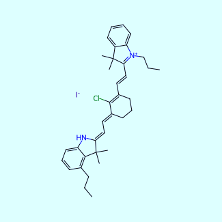 CCCc1cccc2c1C(C)(C)C(=CC=C1CCCC(C=CC3=[N+](CCC)c4ccccc4C3(C)C)=C1Cl)N2.[I-]